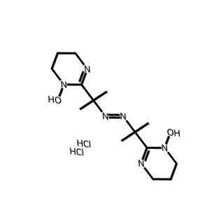 CC(C)(/N=N/C(C)(C)C1=NCCCN1O)C1=NCCCN1O.Cl.Cl